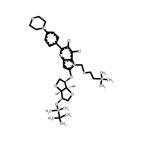 CC(C)(C)[Si](C)(C)O[C@@H]1CO[C@H]2[C@@H]1OC[C@H]2Oc1cc2nc(-c3ccc(N4CCOCC4)cc3)c(Cl)c(Cl)c2n1COCC[Si](C)(C)C